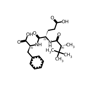 C[C@@H](C(=O)N[C@@H](CCC(=O)O)C(=O)N[C@@H](Cc1ccccc1)C(=O)O)C(C)(C)C